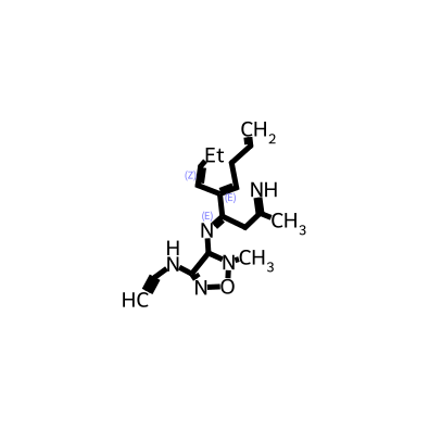 C#CNC1=NON(C)C1/N=C(CC(C)=N)/C(/C=C\CC)=C/CC=C